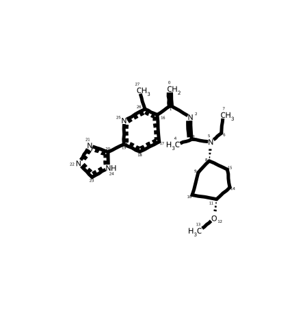 C=C(/N=C(\C)N(CC)[C@H]1CC[C@@H](OC)CC1)c1ccc(-c2nnc[nH]2)nc1C